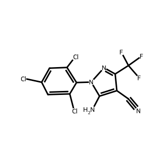 N#Cc1c(C(F)(F)F)nn(-c2c(Cl)cc(Cl)cc2Cl)c1N